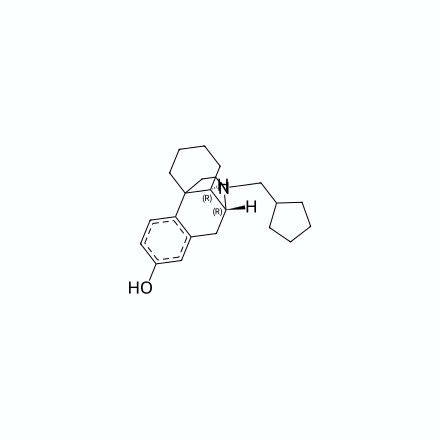 Oc1ccc2c(c1)C[C@@H]1[C@@H]3CCCCC23CCN1CC1CCCC1